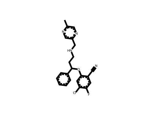 Cc1cnc(CNCCC(Oc2cc(Cl)c(F)cc2C#N)c2ccccc2)cn1